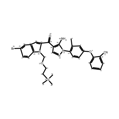 Cc1cc(Oc2ccccc2C#N)ccc1-n1ncc(C(=O)c2cc3cc(Br)ccc3n2COCC[Si](C)(C)C)c1N